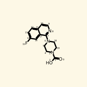 O=C(O)N1CCN(c2nccc3ccc(F)cc23)CC1